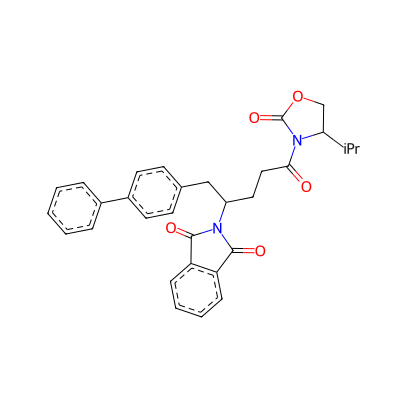 CC(C)C1COC(=O)N1C(=O)CCC(Cc1ccc(-c2ccccc2)cc1)N1C(=O)c2ccccc2C1=O